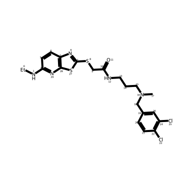 CCNc1ccc2nc(SCC(=O)NCCCN(C)Cc3ccc(Cl)c(Cl)c3)sc2n1